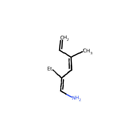 C=C/C(C)=C\C(=C/N)CC